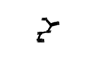 CNNNC(=O)O